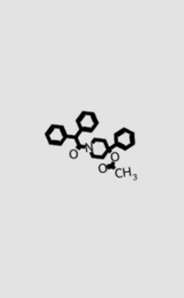 CC(=O)OC1(c2ccccc2)CCN(C(=O)C(c2ccccc2)c2ccccc2)CC1